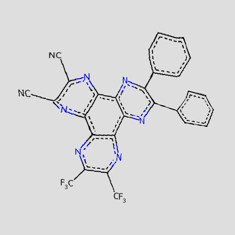 N#Cc1nc2c(nc1C#N)c1nc(C(F)(F)F)c(C(F)(F)F)nc1c1nc(-c3ccccc3)c(-c3ccccc3)nc21